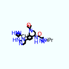 Cc1n[nH]cc1Nc1nccc(-c2ccc3c(c2)CN(C2COC2)CC[C@@H]3NC(=O)c2cn(C(C)C)nn2)n1